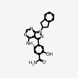 NC(=O)c1ccc(-c2nn(C3Cc4ccccc4C3)c3ncnc(N)c23)cc1O